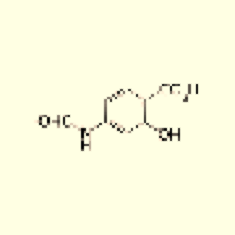 O=[C]Nc1ccc(C(=O)O)c(O)c1